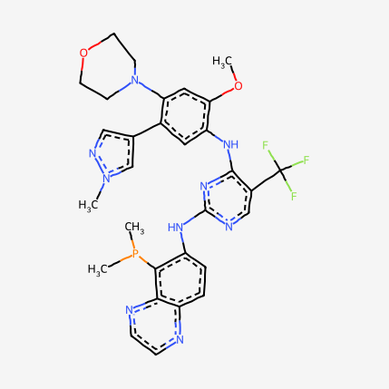 COc1cc(N2CCOCC2)c(-c2cnn(C)c2)cc1Nc1nc(Nc2ccc3nccnc3c2P(C)C)ncc1C(F)(F)F